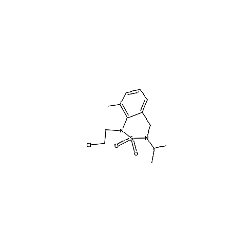 Cc1cccc2c1N(CCCl)S(=O)(=O)N(C(C)C)C2